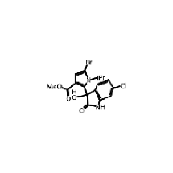 COC(=O)c1cc(Br)n(C(C)C)c1C1(O)C(=O)Nc2cc(Cl)ccc21